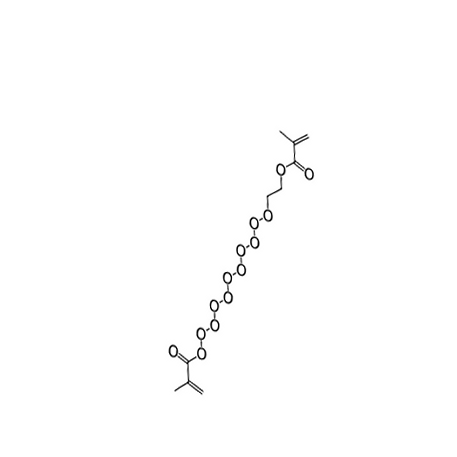 C=C(C)C(=O)OCCOOOOOOOOOOOC(=O)C(=C)C